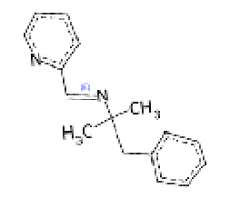 CC(C)(Cc1ccccc1)/N=C/c1ccccn1